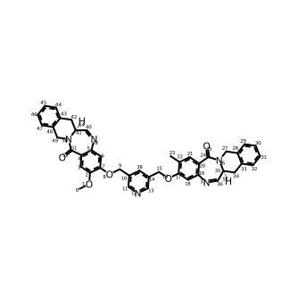 COc1cc2c(cc1OCc1cncc(COc3cc4c(cc3C)C(=O)N3Cc5ccccc5C[C@H]3C=N4)c1)N=C[C@@H]1Cc3ccccc3CN1C2=O